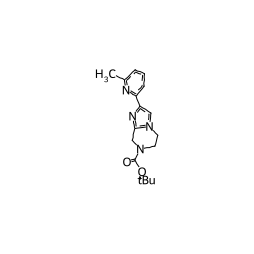 Cc1cccc(-c2cn3c(n2)CN(C(=O)OC(C)(C)C)CC3)n1